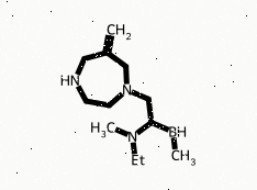 C=C1CNCCN(CC(BC)N(C)CC)C1